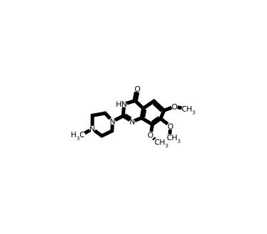 COc1cc2c(=O)[nH]c(N3CCN(C)CC3)nc2c(OC)c1OC